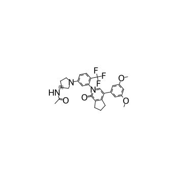 COc1cc(OC)cc(-c2cn(-c3cc(N4CC[C@@H](NC(C)=O)C4)ccc3C(F)(F)F)c(=O)c3c2CCC3)c1